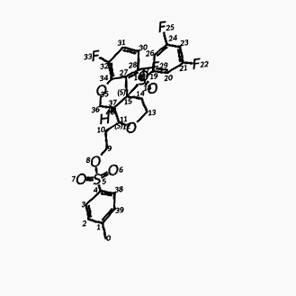 Cc1ccc(S(=O)(=O)OCC[C@@H]2OCC[C@@]3(S(=O)(=O)c4cc(F)cc(F)c4)c4c(F)ccc(F)c4OC[C@@H]23)cc1